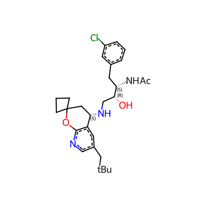 CC(=O)N[C@@H](Cc1cccc(Cl)c1)[C@H](O)CN[C@H]1CC2(CCC2)Oc2ncc(CC(C)(C)C)cc21